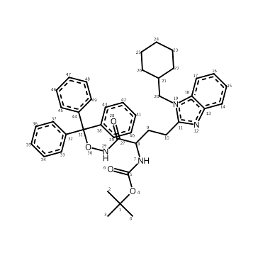 CC(C)(C)OC(=O)NC(CCc1nc2ccccc2n1CC1CCCCC1)C(=O)NOC(c1ccccc1)(c1ccccc1)c1ccccc1